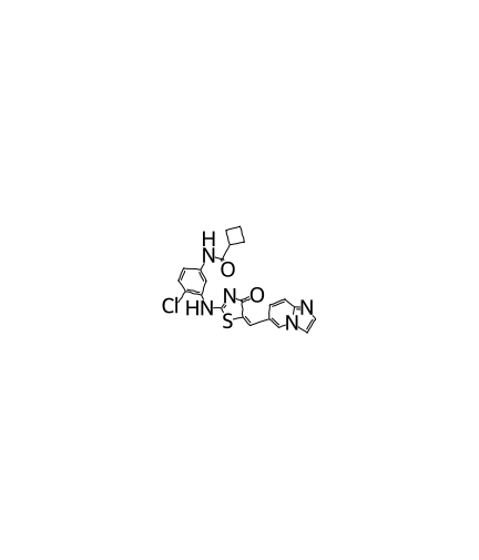 O=C1N=C(Nc2cc(NC(=O)C3CCC3)ccc2Cl)SC1=Cc1ccc2nccn2c1